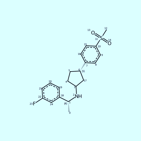 C[C@@H](NC1CC[C@H](c2ccc(S(C)(=O)=O)cc2)C1)c1cccc(F)c1